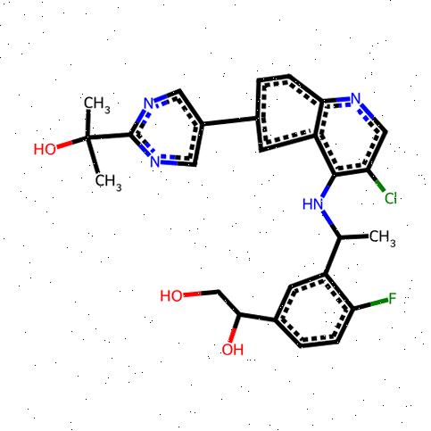 CC(Nc1c(Cl)cnc2ccc(-c3cnc(C(C)(C)O)nc3)cc12)c1cc(C(O)CO)ccc1F